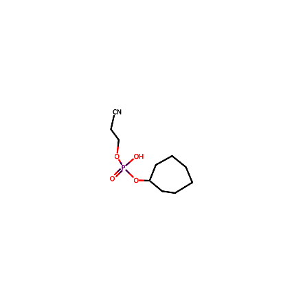 N#CCCOP(=O)(O)OC1CCCCCC1